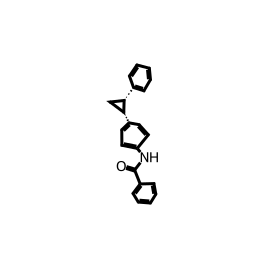 O=C(Nc1ccc([C@@H]2C[C@@H]2c2ccccc2)cc1)c1ccccc1